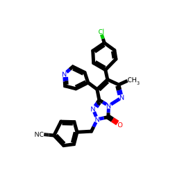 Cc1nn2c(=O)n(Cc3ccc(C#N)cc3)nc2c(-c2ccncc2)c1-c1ccc(Cl)cc1